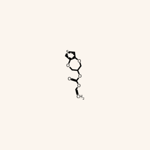 C=COC(=O)OC1COc2cscc2OC1